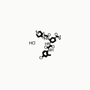 Cc1cc(Cl)ccc1NC(=O)C(=O)N[C@H]1CC[C@H](C(=O)N(C)C)C[C@H]1NC(=O)c1nc2c(s1)CN(C)CC2.Cl